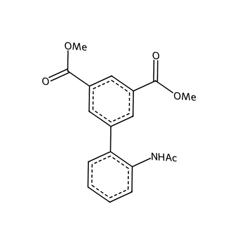 COC(=O)c1cc(C(=O)OC)cc(-c2ccccc2NC(C)=O)c1